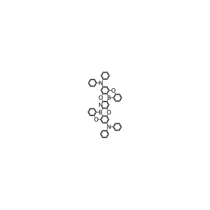 c1ccc(N(c2ccccc2)c2cc3c4c(c2)Oc2nc5c(cc2B4c2ccccc2O3)Oc2cc(N(c3ccccc3)c3ccccc3)cc3c2B5c2ccccc2O3)cc1